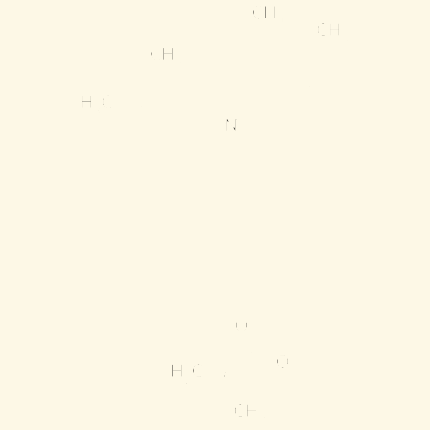 C=C(C)C(=O)OCCCc1ccc(N(C2=CC(C)C(C)C=C2)c2ccc(C)c(C)c2)cc1